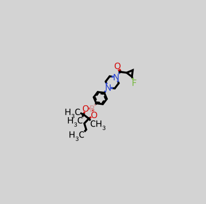 CCCC1(C)OB(c2ccc(N3CCN(C(=O)C4CC4F)CC3)cc2)OC1(C)C